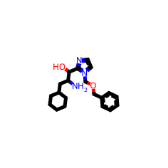 NC(CC1CCCCC1)C(O)c1nccn1COCc1ccccc1